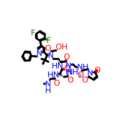 CNCC(=O)N[C@@H](CC(N)=O)C(=O)N[C@@H](CCN(C(=O)CO)[C@@H](c1cc(-c2cc(F)ccc2F)cn1Cc1ccccc1)C(C)(C)C)C(=O)NCCNC(=O)CN1C(=O)C=CC1=O